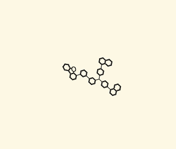 c1cc(-c2cccc(C(c3ccc(-c4cccc5ccccc45)cc3)c3ccc(-c4cccc5ccccc45)cc3)c2)cc(-c2cccc3c2oc2ccccc23)c1